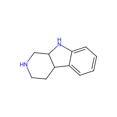 c1ccc2c(c1)NC1CNCCC21